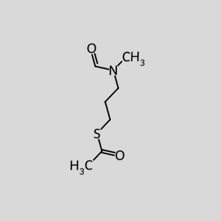 CC(=O)SCCCN(C)C=O